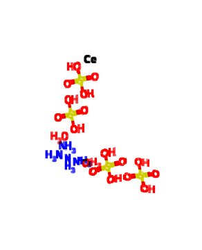 N.N.N.N.O.O.O=S(=O)(O)O.O=S(=O)(O)O.O=S(=O)(O)O.O=S(=O)(O)O.[Ce]